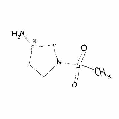 CS(=O)(=O)N1[CH][C@@H](N)CC1